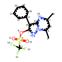 Cc1cc(C)n2nc(OS(=O)(=O)C(F)(F)F)c(-c3ccccc3)c2n1